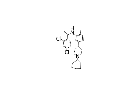 Cc1ccc(C2CCN(C3CCCCC3)CC2)cc1N[C@H](C)c1ccc(Cl)cc1Cl